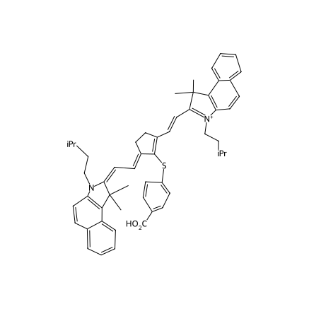 CC(C)CCN1/C(=C/C=C2\CCC(/C=C/C3=[N+](CCC(C)C)c4ccc5ccccc5c4C3(C)C)=C2Sc2ccc(C(=O)O)cc2)C(C)(C)c2c1ccc1ccccc21